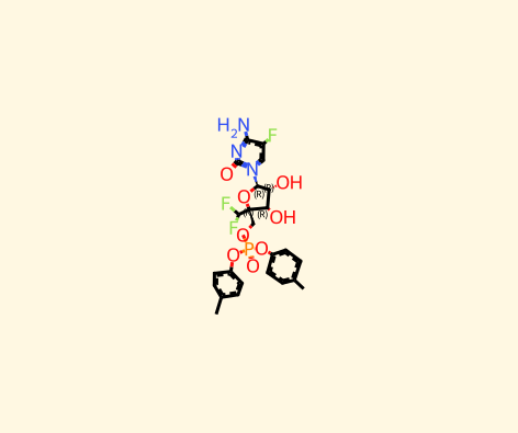 Cc1ccc(OP(=O)(OC[C@@]2(C(F)F)O[C@@H](n3cc(F)c(N)nc3=O)[C@H](O)[C@H]2O)Oc2ccc(C)cc2)cc1